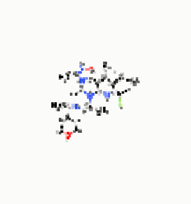 CCc1cc(F)c2nc(N3CCN(C(C)C4CCOCC4)C[C@H]3C)c(-c3nc(C)no3)c(C)c2c1